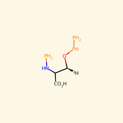 [2H][C@H](OPP)C(NP)C(=O)O